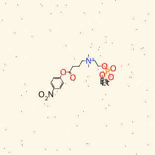 CCOP(=O)(OCC)OCC[N+](C)(C)CCCC(=O)Oc1ccc([N+](=O)[O-])cc1